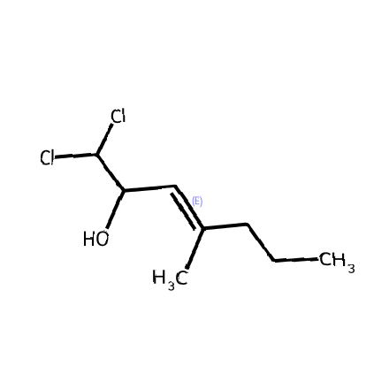 CCC/C(C)=C/C(O)C(Cl)Cl